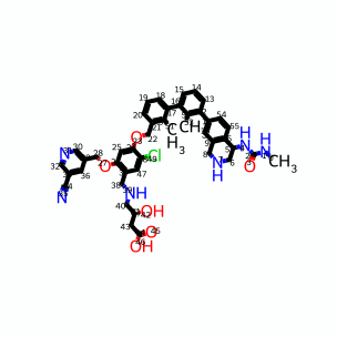 CNC(=O)NC1CNCc2cc(-c3cccc(-c4cccc(COc5cc(OCc6cncc(C#N)c6)c(CNC[C@@H](O)CC(=O)O)cc5Cl)c4C)c3C)ccc21